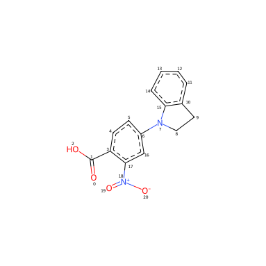 O=C(O)c1ccc(N2CCc3ccccc32)cc1[N+](=O)[O-]